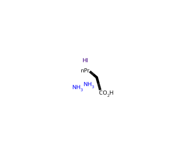 CCCCC(=O)O.I.N.N